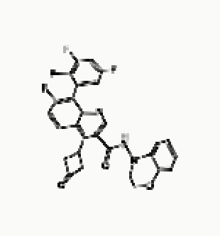 O=C1CC(c2c(C(=O)NN3CCOc4ccccc43)cnc3c(-c4cc(F)cc(F)c4F)c(F)ccc23)C1